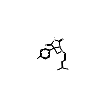 CC(=O)/C(C)=C\C=C/N1CC2(c3ccc(C)cc3)C(=O)NC(=O)N12